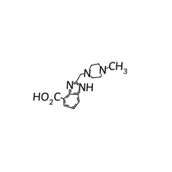 CN1CCN(Cc2nc3c(C(=O)O)cccc3[nH]2)CC1